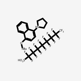 CCCCOc1ccc([SH]2CCCC2)c2ccccc12.O=S(=O)(O)C(F)(F)C(F)(F)C(F)(F)C(F)(F)C(F)(F)C(F)(F)C(F)(F)C(F)(F)F